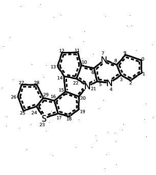 c1ccc2nc3c(nc2c1)c1cccc2c4c5c(ccc4n3c12)sc1ccccc15